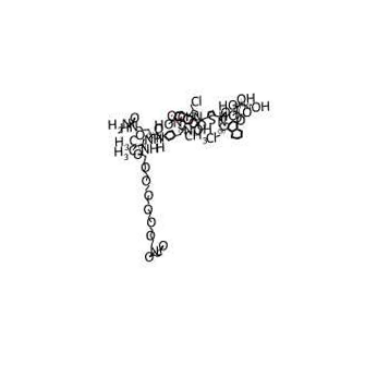 CC(C)[C@H](NC(=O)CCOCCOCCOCCOCCOCCOCCN1C(=O)C=CC1=O)C(=O)N[C@@H](CCCNC(N)=O)C(=O)Nc1ccc(C[C@@](CN(C)C(=O)O)(c2cc3c(c4ccccc24)C(CCl)CN3C(=O)c2ccc(C(=O)N3C[C@@H](CCl)c4c3cc(O[C@@H]3O[C@@H](CO)[C@@H](O)[C@H](O)[C@@H]3O)c3ccccc43)s2)N(C)C(=O)O)cc1